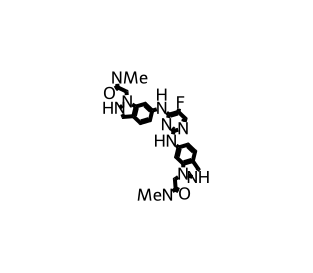 CNC(=O)CN1NCc2ccc(Nc3ncc(F)c(Nc4ccc5c(c4)N(CC(=O)NC)NC5)n3)cc21